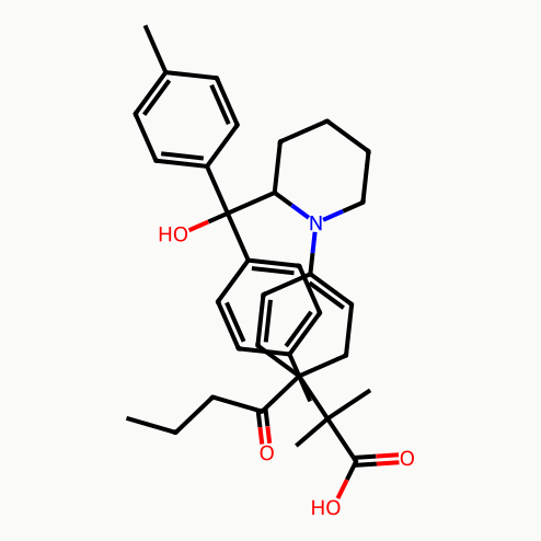 CCCC(=O)C1(C(C)(C)C(=O)O)C=CC(N2CCCCC2C(O)(c2ccc(C)cc2)c2ccc(C)cc2)=CC1